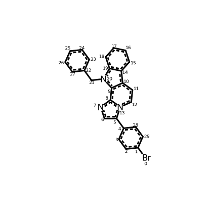 Brc1ccc(-c2cnc3c4c(ccn23)c2ccccc2n4Cc2ccccc2)cc1